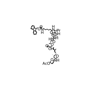 CC(=O)O[C@@H](C)/C=C\C(=O)N[C@@H]1C[C@H](C)[C@H](C/C=C(C)/C=C/[C@H]2O[C@H](CC(=O)NNC(=O)[C@H](C)NC(=O)[C@@H](NC(=O)CCCCCNC(=O)OCC3c4ccccc4-c4ccccc43)C(C)C)C[C@@]3(CO3)[C@@H]2O)O[C@@H]1C